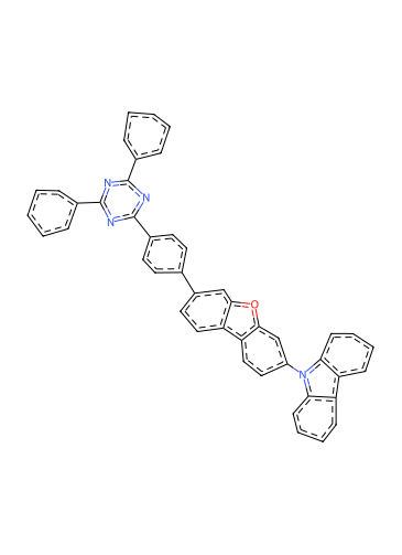 c1ccc(-c2nc(-c3ccccc3)nc(-c3ccc(-c4ccc5c(c4)oc4cc(-n6c7ccccc7c7ccccc76)ccc45)cc3)n2)cc1